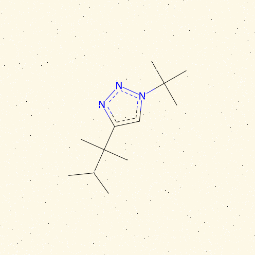 CC(C)C(C)(C)c1cn(C(C)(C)C)nn1